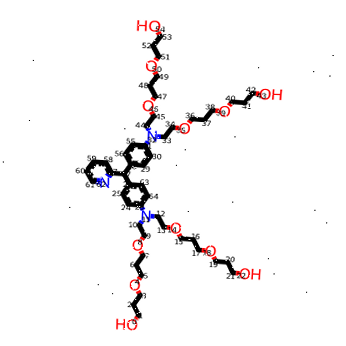 OCCCOCCCOCCN(CCOCCCOCCCO)c1ccc(C(c2ccc(N(CCOCCCOCCCO)CCOCCCOCCCO)cc2)c2ccccn2)cc1